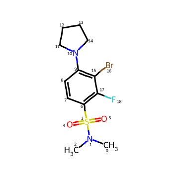 CN(C)S(=O)(=O)c1ccc(N2CCCC2)c(Br)c1F